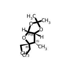 CC[C@@]1(CCl)O[C@@H]2OC(C)(C)O[C@@H]2[C@@H]1C